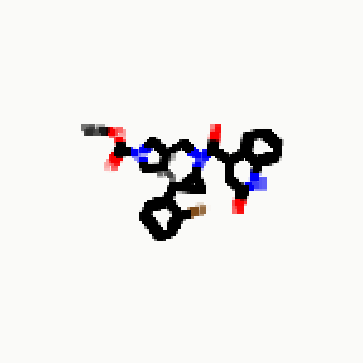 CC(C)(C)OC(=O)N1C[C@@H](Cc2ccccc2Br)[C@H](CN(C(=O)C2CC(=O)Nc3ccccc32)C2CC2)C1